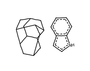 C1C2CC3C4CC5CC(C14)C(C2)C3C5.c1ccc2[nH]ccc2c1